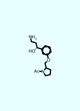 CC(=O)N1CCCC1COc1cccc([C@H](O)CCN)c1